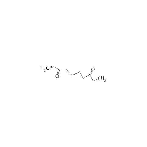 C=CC(=O)CCCCC(=O)CC